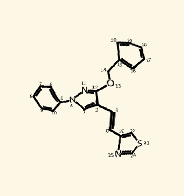 C(=Cc1cn(-c2ccccc2)nc1OCc1ccccc1)c1cscn1